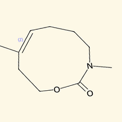 C/C1=C/CCCN(C)C(=O)OCC1